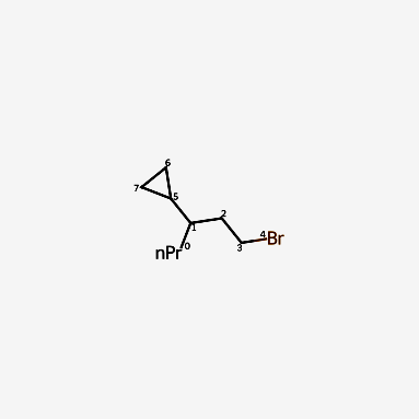 CCCC(CCBr)C1CC1